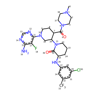 CN1CCN(C(=O)C2CCN(c3ncnc(N)c3F)CC2N2CCCC(Nc3cc(Cl)cc(C(F)(F)F)c3)C2=O)CC1